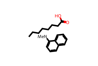 CCCCCCCC(=O)O.CNc1cccc2ccccc12